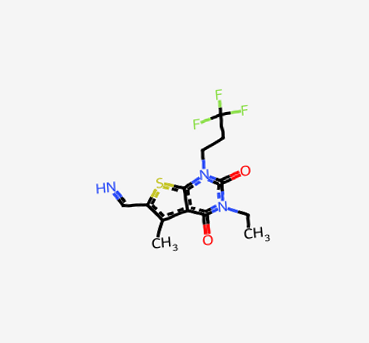 CCn1c(=O)c2c(C)c(C=N)sc2n(CCC(F)(F)F)c1=O